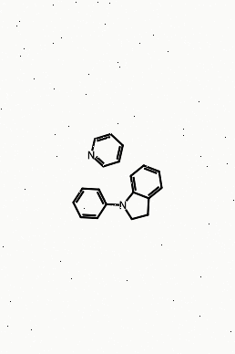 c1ccc(N2CCc3ccccc32)cc1.c1ccncc1